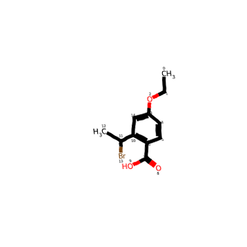 CCOc1ccc(C(=O)O)c(C(C)Br)c1